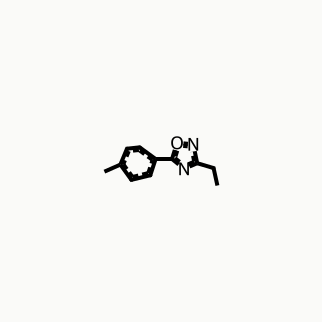 CCc1noc(-c2ccc(C)cc2)n1